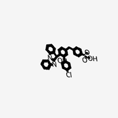 O=S(=O)(O)c1ccc(Cc2ccc(C3(O)c4ccccc4-n4c3nc3ccccc34)c(-c3ccc(Cl)cc3)c2)cc1